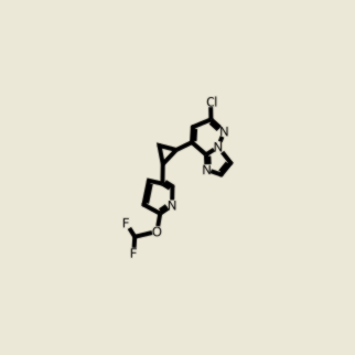 FC(F)Oc1ccc(C2CC2c2cc(Cl)nn3ccnc23)cn1